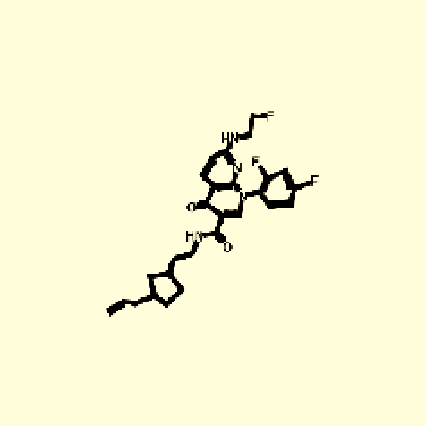 C=CCC1CCC(CCNC(=O)c2cn(-c3ccc(F)cc3F)c3nc(NCCF)ccc3c2=O)C1